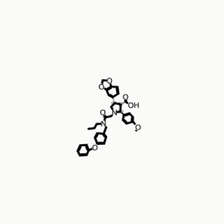 CCCN(Cc1ccc(Oc2ccccc2)cc1)C(=O)CN1C[C@H](c2ccc3c(c2)OCO3)[C@H](C(=O)O)[C@H]1c1ccc(OC)cc1